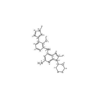 COc1c(Nc2cc(N)nc3c2nc(C)n3C2CCCCO2)cccc1-c1ncn(C)n1